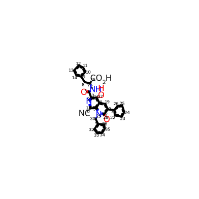 N#Cc1nc(C(=O)NC(Cc2ccccc2)C(=O)O)c(O)c2cc(-c3ccccc3)c(=O)n(Cc3ccccc3)c12